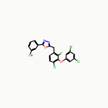 N#Cc1cccc(-c2nnc(Cc3ccc(Cl)c(Oc4cc(Cl)cc(Br)c4)c3F)o2)c1